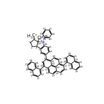 CC1CCC2c3cc(-c4cc(-c5cccc6ccccc56)c5ccc6ccc(-c7cccc8ccccc78)c7ccc4c5c67)ccc3N(c3ccccc3)C12C